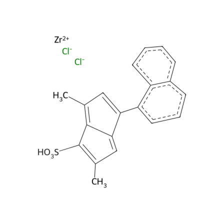 CC1=C2C(=CC(C)=C2S(=O)(=O)O)C(c2cccc3ccccc23)=C1.[Cl-].[Cl-].[Zr+2]